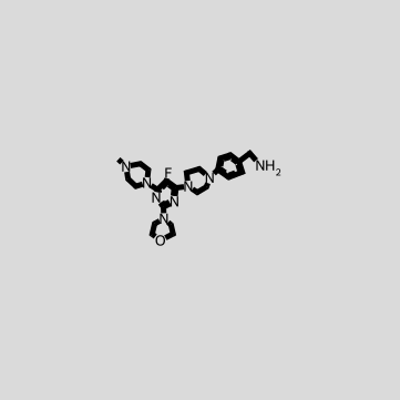 CN1CCN(c2nc(N3CCOCC3)nc(N3CCN(c4ccc(CN)cc4)CC3)c2F)CC1